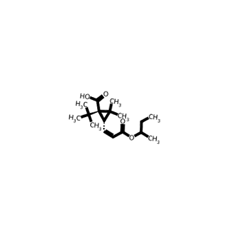 CCC(C)OC(=O)/C=C\[C@H]1C(C)(C)[C@]1(C(=O)O)C(C)(C)C